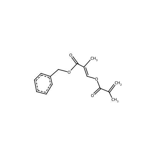 C=C(C)C(=O)OC=C(C)C(=O)OCc1ccccc1